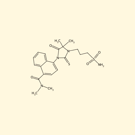 CN(C)C(=O)c1ccc(N2C(=O)C(C)(C)N(CCCS(N)(=O)=O)C2=S)c2ccccc12